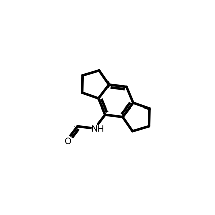 O=[C]Nc1c2c(cc3c1CCC3)CCC2